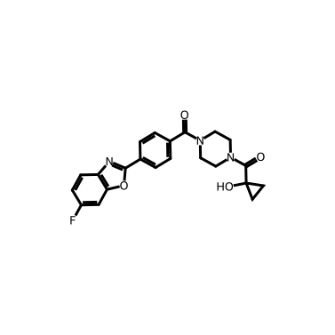 O=C(c1ccc(-c2nc3ccc(F)cc3o2)cc1)N1CCN(C(=O)C2(O)CC2)CC1